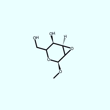 CO[C@H]1OC(CO)[C@@H](O)[C@H]2OC12